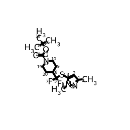 Cc1cc(SC(F)(F)C2CCN(C(=O)OC(C)(C)C)CC2)n(C)n1